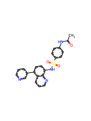 CC(=O)Nc1ccc(S(=O)(=O)Nc2ccc(-c3cccnc3)c3cccnc23)cc1